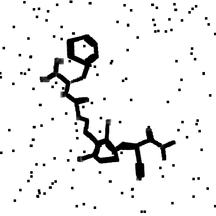 CN(C)C(=O)/C(C#N)=C/c1ccc(Cl)c(CCOC(=O)N[C@@H](Cc2ccccc2)B(O)O)c1Cl